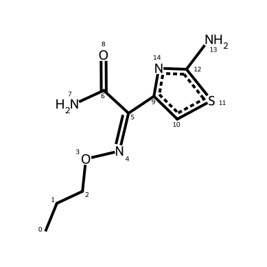 CCCON=C(C(N)=O)c1csc(N)n1